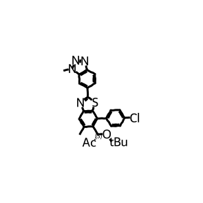 CC(=O)[C@@H](OC(C)(C)C)c1c(C)cc2nc(-c3ccc4nnn(C)c4c3)sc2c1-c1ccc(Cl)cc1